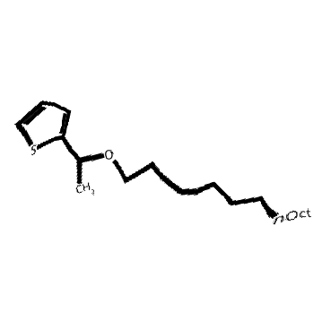 CCCCCCCCCCCCCCOC(C)c1cccs1